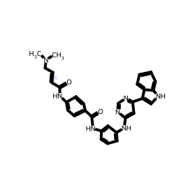 CN(C)C/C=C/C(=O)Nc1ccc(C(=O)Nc2cccc(Nc3cc(-c4c[nH]c5ccccc45)ncn3)c2)cc1